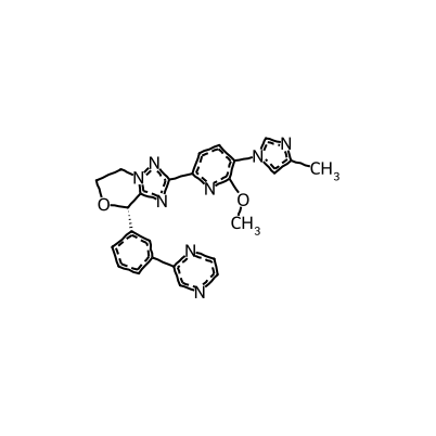 COc1nc(-c2nc3n(n2)CCO[C@H]3c2cccc(-c3cnccn3)c2)ccc1-n1cnc(C)c1